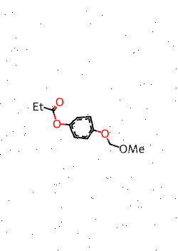 CCC(=O)Oc1ccc(OCOC)cc1